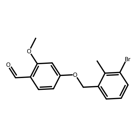 COc1cc(OCc2cccc(Br)c2C)ccc1C=O